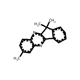 Cc1ccc2nc3c(nc2c1)-c1ccccc1C3(C)C